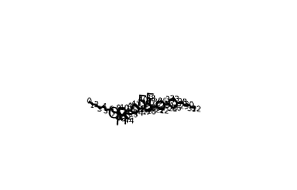 CCCCCCCOc1ccc(-c2ccc(-c3ccc(C4=CCC(C5CCC(CCCCC)CC5)CC4)c(F)c3F)cc2)c(F)c1F